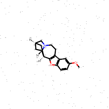 COc1ccc2oc3c(c2c1)CCN1C[C@H]2C[C@@H]3[C@@H]1C2